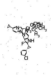 CC(C)(C)[Si](C)(C)O[C@H]1C[C@H](c2cn3cc(C4CC4)ccc3n2)N(c2cc3[nH]c([C@H]4C[C@@H]4c4cccc(Cl)c4)c(F)c3cn2)C1